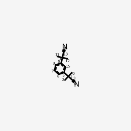 CC(C)(C#N)c1cccc(C(C)(C)C#N)c1